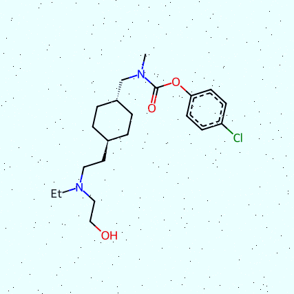 CCN(CCO)CC[C@H]1CC[C@H](CN(C)C(=O)Oc2ccc(Cl)cc2)CC1